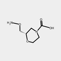 NOC[C@@H]1CN(C(=O)O)CCO1